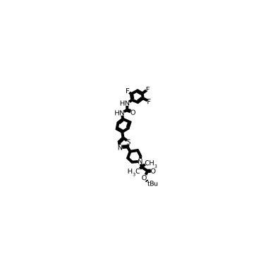 CC(C)(C)OC(=O)C(C)(C)N1CCC(c2ncc(-c3ccc(NC(=O)Nc4cc(F)c(F)cc4F)cc3)s2)CC1